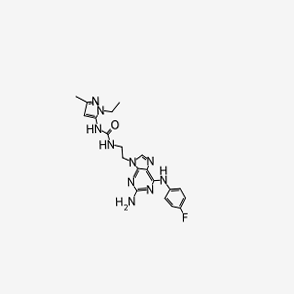 CCn1nc(C)cc1NC(=O)NCCn1cnc2c(Nc3ccc(F)cc3)nc(N)nc21